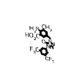 Cc1cc(Cn2nnn(-c3cc(C(F)(F)F)cc(C(F)(F)F)c3)c2=O)cc(C(=O)O)c1N